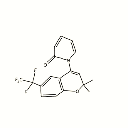 CC1(C)C=C(n2ccccc2=O)c2cc(C(F)(F)C(F)(F)F)ccc2O1